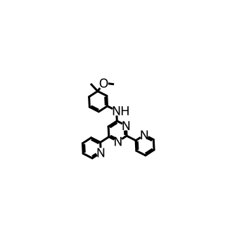 COC1(C)C=C(Nc2cc(-c3ccccn3)nc(-c3ccccn3)n2)C=CC1